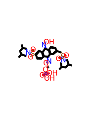 CC1CC(C)CN(S(=O)(=O)Cc2ccc3c(c2)/C(=N/OCOP(=O)(O)O)c2ccc(S(=O)(=O)N4CC(C)CC(C)C4)cc2/C3=N/O)C1